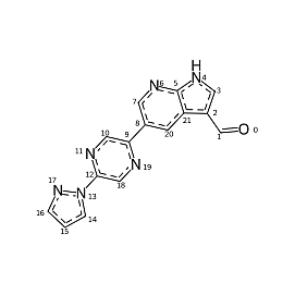 O=Cc1c[nH]c2ncc(-c3cnc(-n4cccn4)cn3)cc12